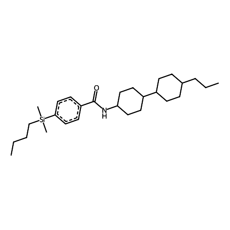 CCCC[Si](C)(C)c1ccc(C(=O)NC2CCC(C3CCC(CCC)CC3)CC2)cc1